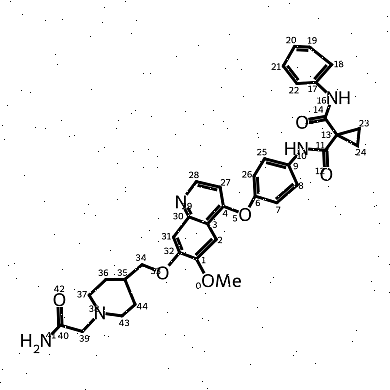 COc1cc2c(Oc3ccc(NC(=O)C4(C(=O)Nc5ccccc5)CC4)cc3)ccnc2cc1OCC1CCN(CC(N)=O)CC1